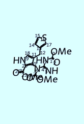 COC(=O)NC(=N)N(C(=O)OC)c1c(Cc2ccsc2)c[nH]c1C(=O)OC